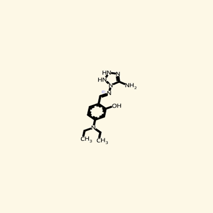 CCN(CC)c1ccc(/C=N/N2NNN=C2N)c(O)c1